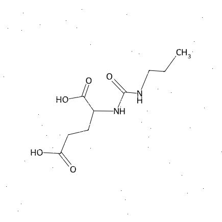 CCCNC(=O)NC(CCC(=O)O)C(=O)O